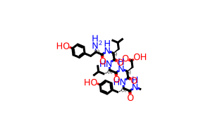 CNC(=O)[C@H](Cc1ccc(O)cc1)NC(=O)[C@H](CC(=O)O)NC(=O)[C@H](CC(C)C)NC(=O)[C@H](CC(C)C)NC(=O)[C@@H](N)Cc1ccc(O)cc1